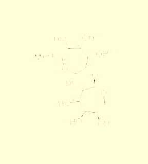 CO[C@H]1OC[C@@H](O[C@H]2OC[C@@H](O)[C@@H](O)C(O)C2O)[C@@H](O)C(O)C1O